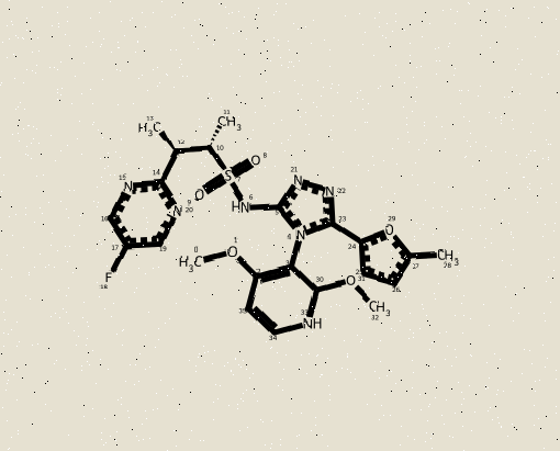 COC1=C(n2c(NS(=O)(=O)[C@@H](C)[C@H](C)c3ncc(F)cn3)nnc2-c2ccc(C)o2)C(OC)NC=C1